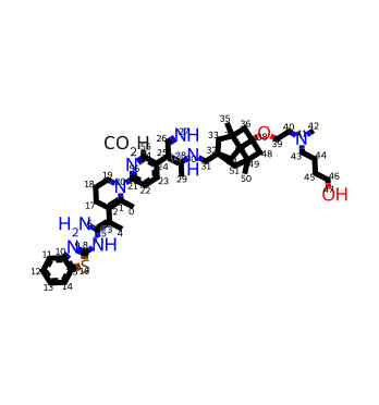 CC1=C(/C(C)=C(\N)Nc2nc3ccccc3s2)CCCN1c1ccc(/C(C=N)=C(\C)NCC23CC4(C)CC5(OCCN(C)CCCCO)CC(C)(C2)C45C3)c(C(=O)O)n1